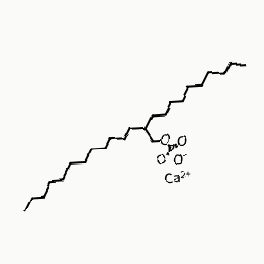 CCCCCCCCCCCCC(CCCCCCCCCC)COP(=O)([O-])[O-].[Ca+2]